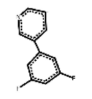 Fc1cc(F)cc(-c2c[c]cnc2)c1